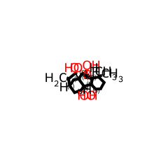 C=C1C(=O)[C@]23C[C@H]1C[C@H](O)[C@H]2[C@@]12CO[C@]3(O)[C@@H](O)[C@@H]1C(C)(C)CC[C@@H]2O